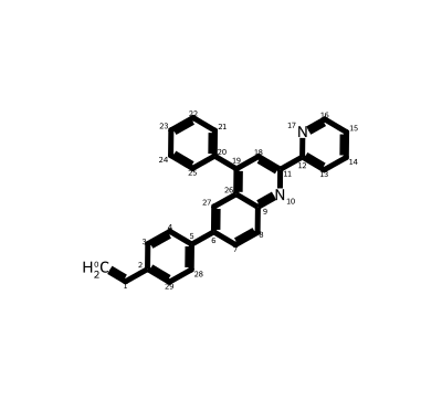 C=Cc1ccc(-c2ccc3nc(-c4ccccn4)cc(-c4ccccc4)c3c2)cc1